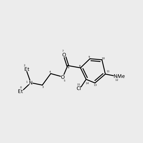 CCN(CC)CCOC(=O)c1ccc(NC)cc1Cl